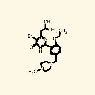 CCOc1ccc(CN2CCN(C)CC2)cc1-c1nc(CC(C)C)c(Br)c(=O)[nH]1